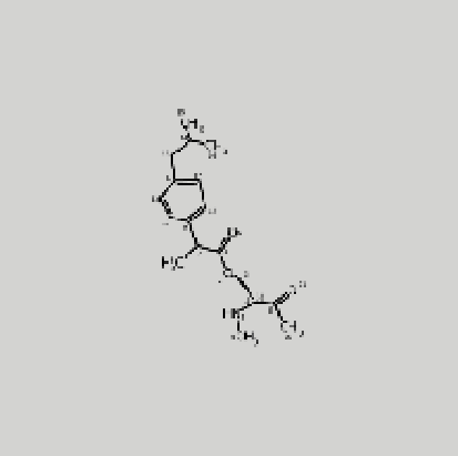 CN[C@@H](COC(=O)C(C)c1ccc(CC(C)C)cc1)C(C)=O